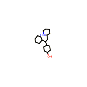 OC1CCC(C(CC2CCCCN2)C2CCCCC2)CC1